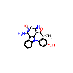 CCc1onc(C)c1-c1c(/C(N)=N/O)c2ccccc2n1-c1ccc(O)cc1